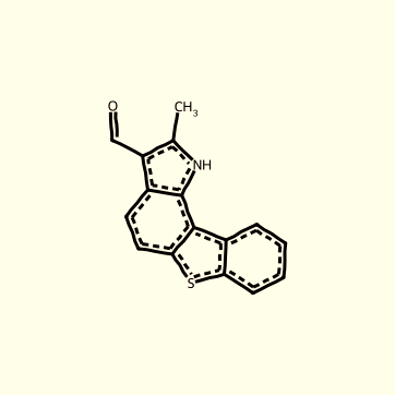 Cc1[nH]c2c(ccc3sc4ccccc4c32)c1C=O